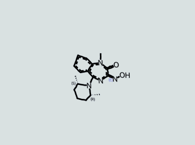 C[C@@H]1CCC[C@H](C)N1c1n/c(=N/O)c(=O)n(C)c2ccccc12